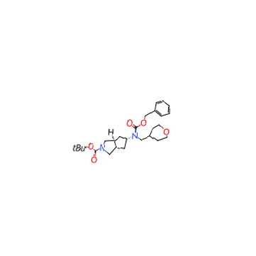 CC(C)(C)OC(=O)N1CC2C[C@@H](N(CC3CCOCC3)C(=O)OCc3ccccc3)C[C@H]2C1